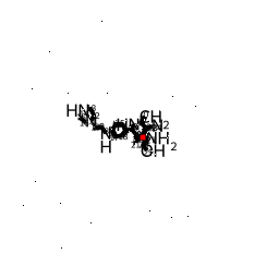 C=C(NC(c1ccc(NCCN2CCNCC2)cc1)C1CC1)/C(C#N)=C/C(N)=C/O